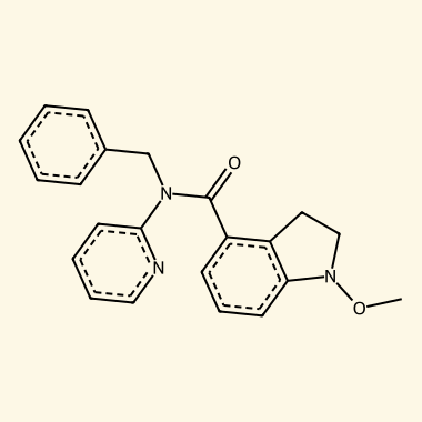 CON1CCc2c(C(=O)N(Cc3ccccc3)c3ccccn3)cccc21